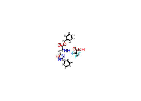 N[C@@H](Cc1nc(-c2ccccc2)no1)C(=O)OCc1ccccc1.O=C(O)C(F)(F)F